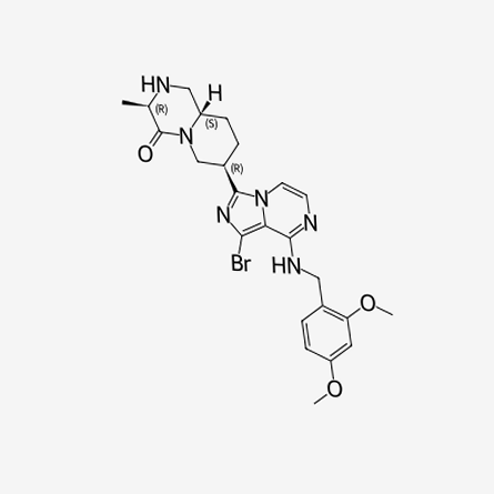 COc1ccc(CNc2nccn3c([C@@H]4CC[C@H]5CN[C@H](C)C(=O)N5C4)nc(Br)c23)c(OC)c1